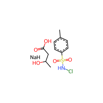 CC(O)CC(=O)O.Cc1ccc(S(=O)(=O)NCl)cc1.[NaH]